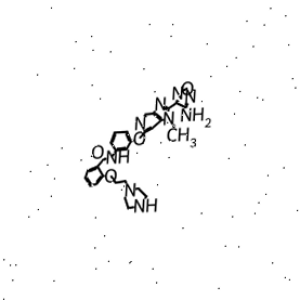 CCn1c(-c2nonc2N)nc2cnc(Oc3cccc(NC(=O)c4ccccc4OCCN4CCNCC4)c3)cc21